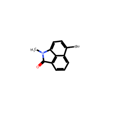 CN1C(=O)c2cccc3c(C(C)(C)C)ccc1c23